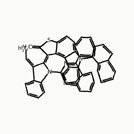 C=c1sc2ccc3c(c4ccccc4n3-c3cccc4ccccc34)c2/c1=c1/c(=C\C)c2ccccc2n1-c1nc(-c2ccccc2)c2ccccc2n1